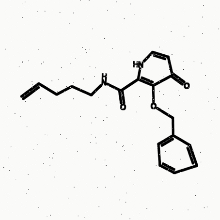 C=CCCCNC(=O)c1[nH]ccc(=O)c1OCc1ccccc1